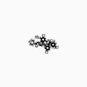 CCOc1cc(C(C)(C)C)c(Cl)cc1C1=N[C@@](C)(c2ccc(Cl)cc2)[C@@](C)(c2ccc(Cl)cc2)N1C(=O)N1CCN(CC(=O)N2CCOCC2)CC1